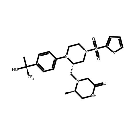 C[C@@H]1CNC(=O)CN1C[C@H]1CN(S(=O)(=O)c2cccs2)CCN1c1ccc([C@@](C)(O)C(F)(F)F)cc1